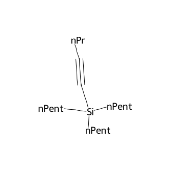 [CH2]CCC#C[Si](CCCCC)(CCCCC)CCCCC